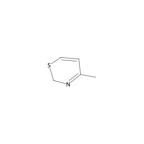 CC1=NCSC=C1